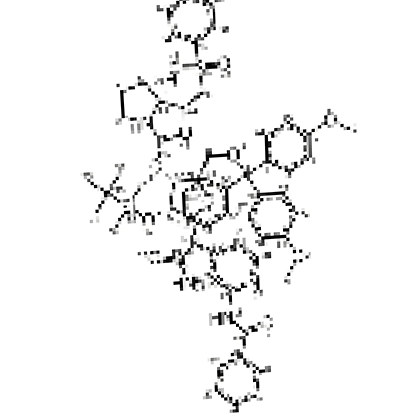 COc1ccc(C(OC[C@H]2O[C@@H](n3c(=O)[nH]c4c(NC(=O)c5ccccc5)ncnc43)[C@H](O[Si](C)(C)C(C)(C)C)[C@@H]2O[P@]2O[C@H](CS(=O)(=O)c3ccccc3)[C@@H]3CCCN32)(c2ccccc2)c2ccc(OC)cc2)cc1